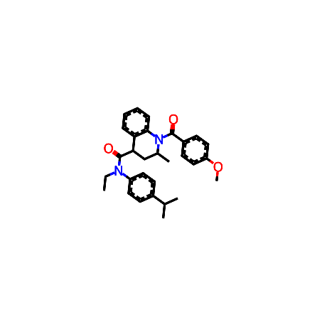 CCN(C(=O)C1CC(C)N(C(=O)c2ccc(OC)cc2)c2ccccc21)c1ccc(C(C)C)cc1